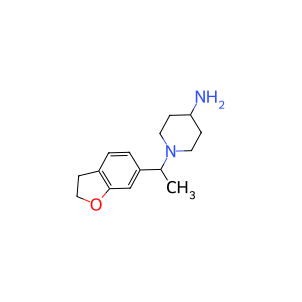 CC(c1ccc2c(c1)OCC2)N1CCC(N)CC1